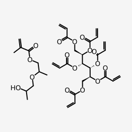 C=C(C)C(=O)OCC(C)OCC(C)O.C=CC(=O)OC[C@H](OC(=O)C=C)[C@@H](OC(=O)C=C)[C@H](OC(=O)C=C)[C@@H](COC(=O)C=C)OC(=O)C=C